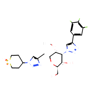 CO[C@@H]1[C@@H](n2cc(-c3cc(F)c(F)c(F)c3)nn2)[C@@H](O)[C@@H](CO)O[C@@H]1Cc1cn(C2CCS(=O)(=O)CC2)nn1